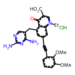 CCn1cc(C(=O)O)c(=O)c2c(Cc3cnc(N)nc3N)cc(C#Cc3cccc(OC)c3OC)cc21.Cl